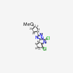 COc1ccc(-c2nc3c4cccc(Cl)c4nc(Cl)n3n2)cc1